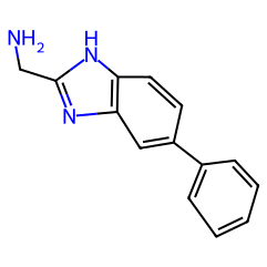 NCc1nc2cc(-c3ccccc3)ccc2[nH]1